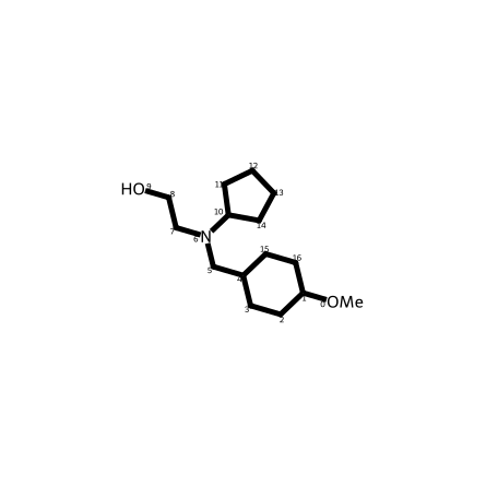 COC1CCC(CN(CCO)C2CCCC2)CC1